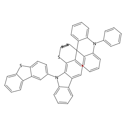 c1ccc(N2c3ccccc3C3(c4ccccc4Sc4c3ccc3c5ccccc5n(-c5ccc6sc7ccccc7c6c5)c43)c3ccccc32)cc1